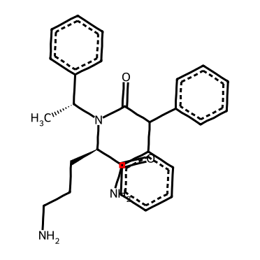 C[C@H](c1ccccc1)N(C(=O)C(c1ccccc1)c1ccccc1)[C@H](CCCN)C(N)=O